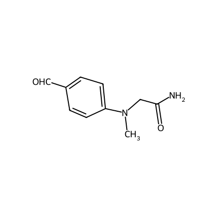 CN(CC(N)=O)c1ccc(C=O)cc1